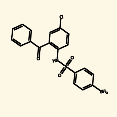 Bc1ccc(S(=O)(=O)Nc2ccc(Cl)cc2C(=O)c2ccccc2)cc1